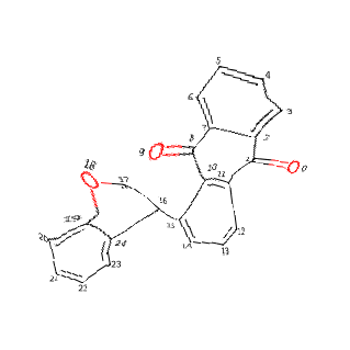 O=C1c2ccccc2C(=O)c2c1cccc2C1[C]Oc2ccccc21